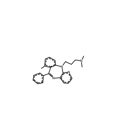 Cc1cccc2c1C(c1ccccc1)=Nc1cccnc1N2CCCN(C)C